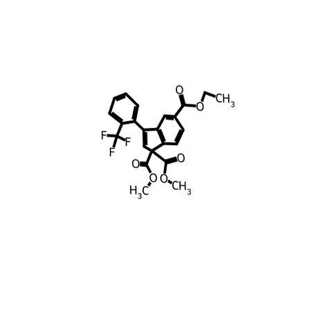 CCOC(=O)c1ccc2c(c1)C(c1ccccc1C(F)(F)F)=CC2(C(=O)OC)C(=O)OC